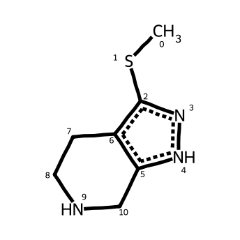 CSc1n[nH]c2c1CCNC2